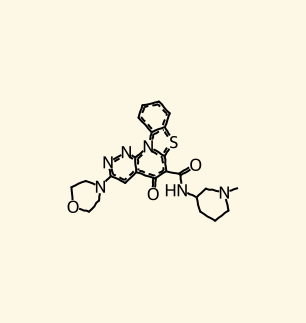 CN1CCCC(NC(=O)c2c(=O)c3cc(N4CCOCC4)nnc3n3c2sc2ccccc23)C1